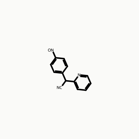 N#CC(c1ccc(N=O)cc1)c1ccccn1